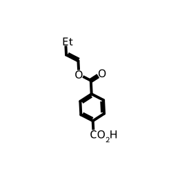 CCC=COC(=O)c1ccc(C(=O)O)cc1